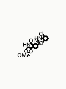 COC(=O)Oc1c(C)[nH]c(=O)c2c1ccc1nc(Nc3c(Cl)cccc3Cl)n(C)c12